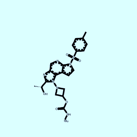 Cc1ccc(S(=O)(=O)n2ccc3c2ncc2nc([C@@H](C)O)n(N4CC(OC(=O)NC(C)(C)C)C4)c23)cc1